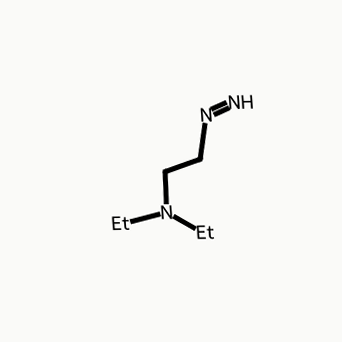 CCN(CC)CCN=N